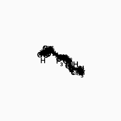 Cc1ccc(C(=O)Nc2ccc(CN3CCN(C(=O)CCCCCNc4cccc5c4C(=O)C(C4CCC(=O)NC4=O)C5=O)CC3)c(C(F)(F)F)c2)cc1C#Cc1cnc2cccnn12